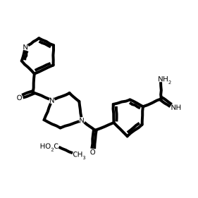 CC(=O)O.N=C(N)c1ccc(C(=O)N2CCN(C(=O)c3cccnc3)CC2)cc1